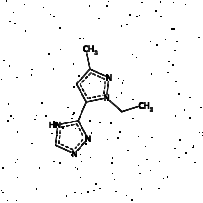 CCn1nc(C)cc1-c1nnc[nH]1